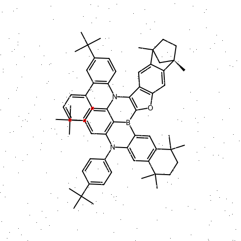 CC(C)(C)c1ccc(N2c3cc4c(cc3B3c5oc6cc7c(cc6c5N(c5ccc(C(C)(C)C)cc5-c5ccccc5)c5cc(C(C)(C)C)cc2c53)C2(C)CC[C@@]7(C)C2)C(C)(C)CCC4(C)C)cc1